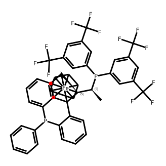 C[C@H](P(c1cc(C(F)(F)F)cc(C(F)(F)F)c1)c1cc(C(F)(F)F)cc(C(F)(F)F)c1)[C@]12[CH]3[CH]4[CH]5[C]1(c1ccccc1P(c1ccccc1)c1ccccc1)[Fe]45321678[CH]2[CH]1[CH]6[CH]7[CH]28